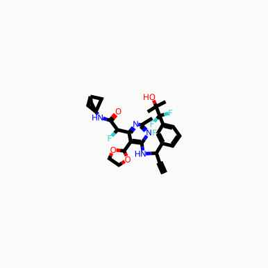 C#CC(Nc1nc(C)nc(C(F)C(=O)NC23CC(C2)C3)c1C1OCCO1)c1cccc(C(F)(F)C(C)(C)O)c1F